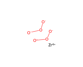 [O-]O[O-].[O-]O[O-].[Zr+4]